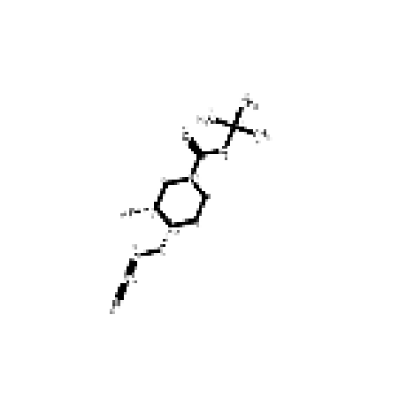 CC(C)(C)OC(=O)N1CC[C@H](CN=[N+]=[N-])[C@H](F)C1